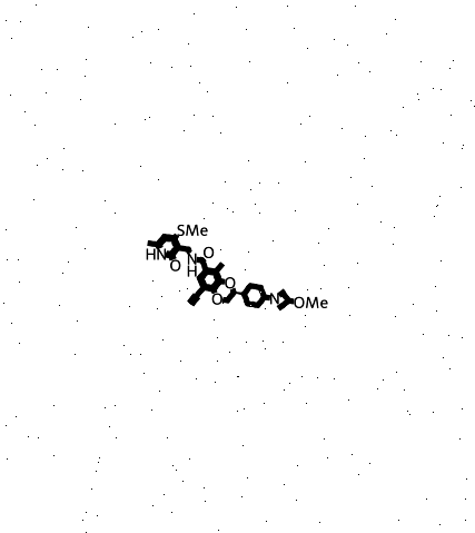 C#Cc1cc(C(=O)NCc2c(SC)cc(C)[nH]c2=O)c(C)c2c1OC[C@H](C1CCC(N3CC(OC)C3)CC1)O2